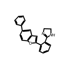 c1ccc(-c2ccc3oc(-c4ccccc4C4=NCCN4)cc3c2)cc1